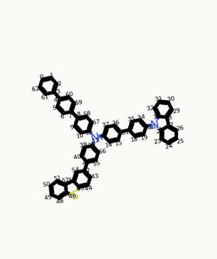 c1ccc(-c2ccc(-c3ccc(N(c4ccc(-c5ccc(-n6c7ccccc7c7ccccc76)cc5)cc4)c4ccc(-c5ccc6sc7ccccc7c6c5)cc4)cc3)cc2)cc1